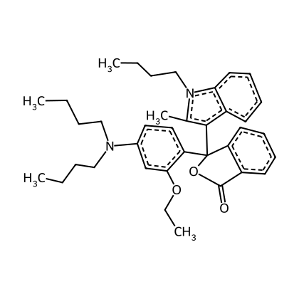 CCCCN(CCCC)c1ccc(C2(c3c(C)n(CCCC)c4ccccc34)OC(=O)c3ccccc32)c(OCC)c1